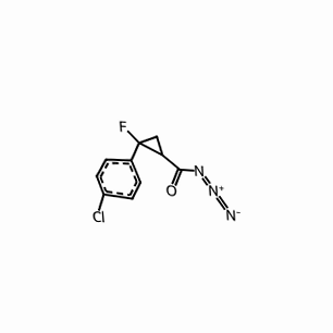 [N-]=[N+]=NC(=O)C1CC1(F)c1ccc(Cl)cc1